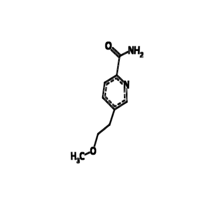 COCCc1ccc(C(N)=O)nc1